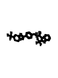 O=C(NCc1ccc(-c2cn3c(n2)CC(C(F)(F)F)CC3)cc1)c1c(C(F)(F)F)nc2ccccn12